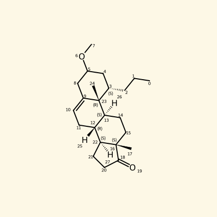 CCC[C@H]1CC(OC)CC2=CC[C@@H]3[C@H](CC[C@]4(C)C(=O)CC[C@@H]34)[C@]21C